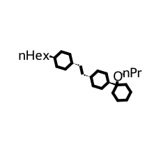 CCCCCC[C@H]1CC[C@H](CC[C@H]2CC[C@H](C3(OCCC)CCCCC3)CC2)CC1